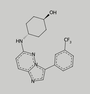 O[C@H]1CC[C@H](Nc2ccc3ncc(-c4cccc(C(F)(F)F)c4)n3n2)CC1